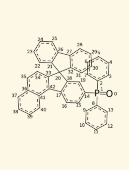 O=P(c1ccccc1)(c1ccccc1)c1ccc2c(c1)C1(c3ccccc3-c3ccccc31)c1ccc3ccccc3c1-2